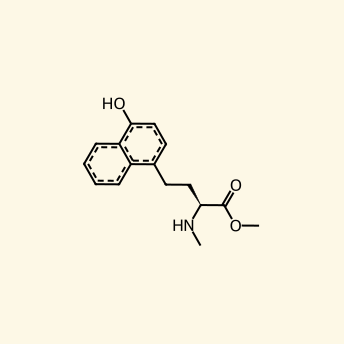 CN[C@@H](CCc1ccc(O)c2ccccc12)C(=O)OC